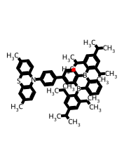 Cc1ccc2c(c1)Sc1cc(C)ccc1N2c1ccc(-c2ccc3c(c2)B(c2c(C(C)C)cc(C(C)C)cc2C(C)C)c2ccccc2B3c2c(C(C)C)cc(C(C)C)cc2C(C)C)cc1